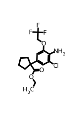 CCOC(=O)C1(c2cc(Cl)c(N)c(OCC(F)(F)F)c2)CCCC1